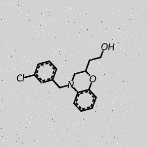 OCCC1CN(Cc2cccc(Cl)c2)c2ccccc2O1